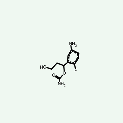 NC(=O)OC(CCO)c1cc(N)ccc1F